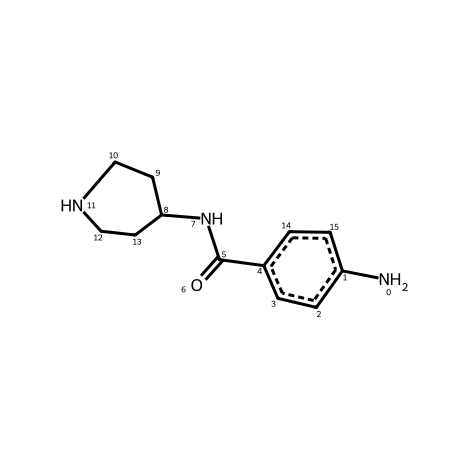 Nc1ccc(C(=O)NC2CCNCC2)cc1